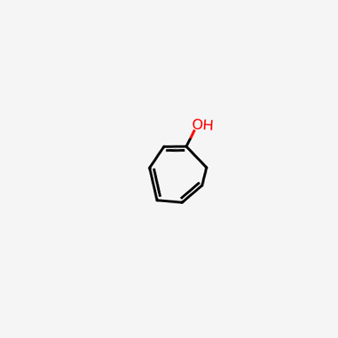 OC1=CC=CC=CC1